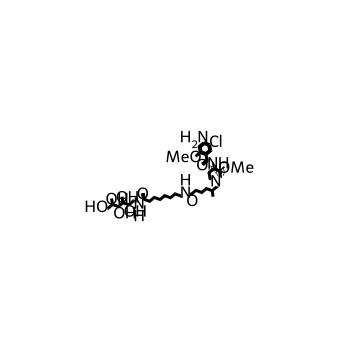 COc1cc(N)c(Cl)cc1C(=O)N[C@@H]1CCN(CC(C)CCCC(=O)NCCCCCCCC(=O)NCC(O)C(O)C(O)C(O)CO)C[C@@H]1OC